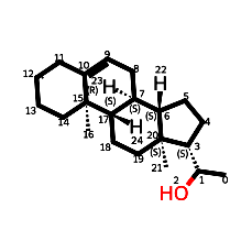 CC(O)[C@H]1CC[C@H]2[C@@H]3CC=C4C[CH]CC[C@]4(C)[C@H]3CC[C@]12C